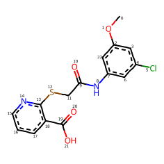 COc1cc(Cl)cc(NC(=O)CSc2ncccc2C(=O)O)c1